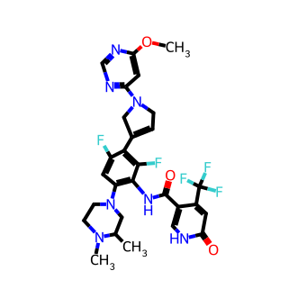 COc1cc(N2CC=C(c3c(F)cc(N4CCN(C)C(C)C4)c(NC(=O)c4c[nH]c(=O)cc4C(F)(F)F)c3F)C2)ncn1